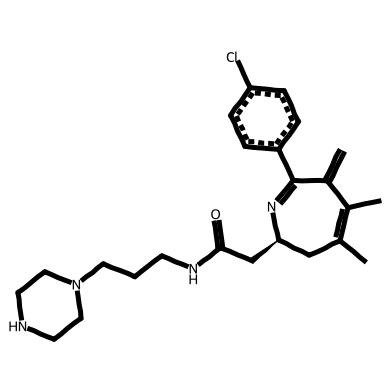 C=C1C(c2ccc(Cl)cc2)=N[C@H](CC(=O)NCCCN2CCNCC2)CC(C)=C1C